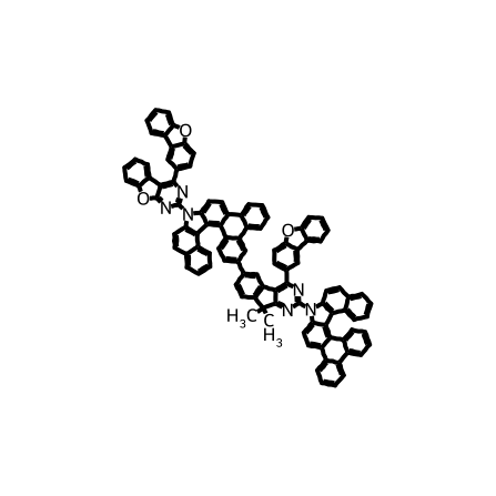 CC1(C)c2ccc(-c3ccc4c(c3)c3ccccc3c3ccc5c(c34)c3c4ccccc4ccc3n5-c3nc(-c4ccc5oc6ccccc6c5c4)c4c(n3)oc3ccccc34)cc2-c2c(-c3ccc4oc5ccccc5c4c3)nc(-n3c4ccc5ccccc5c4c4c5c6ccccc6c6ccccc6c5ccc43)nc21